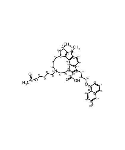 CCc1c2c(nn1C)CCCN(CCCCOC(C)=O)CCn1c(C(=O)O)c(CCCOc3cccc4cc(F)ccc34)c3ccc(Cl)c-2c31